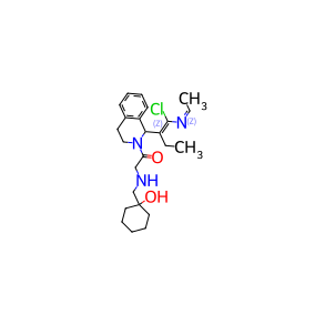 C/C=N\C(Cl)=C(/CC)C1c2ccccc2CCN1C(=O)CNCC1(O)CCCCC1